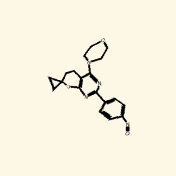 O=Nc1ccc(-c2nc3c(c(N4CCOCC4)n2)CCC2(CC2)O3)cc1